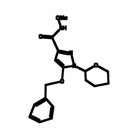 CONC(=O)c1cc(OCc2ccccc2)n(C2CCCCO2)n1